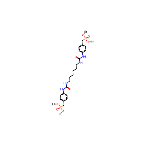 CCOP(=O)(Cc1ccc(NC(=O)NCCCCCCNC(=O)Nc2ccc(CP(=O)(OCC)OCC)cc2)cc1)OCC